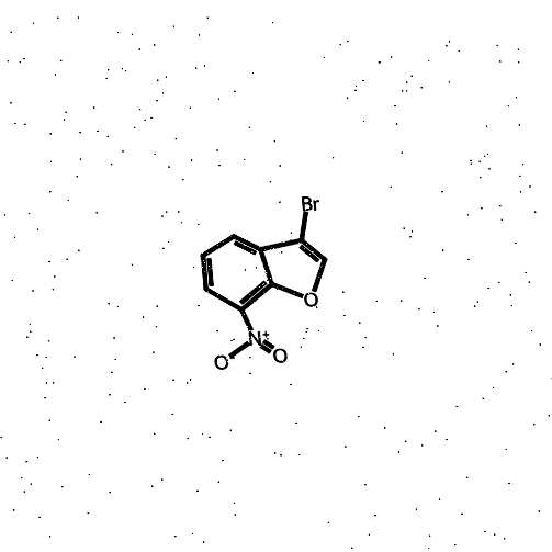 O=[N+]([O-])c1cccc2c(Br)coc12